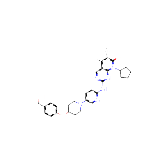 CC(=O)c1c(C)c2cnc(Nc3ccc(N4CCC(Oc5ccc(CO)cc5)CC4)cn3)nc2n(C2CCCC2)c1=O